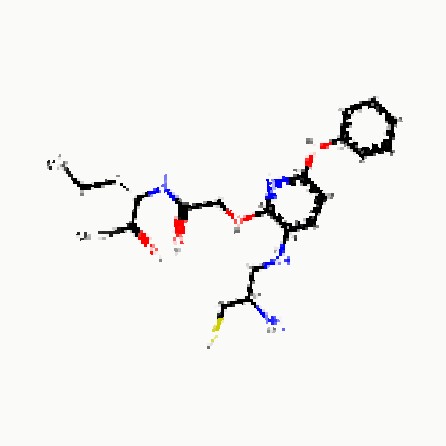 COC(=O)[C@H](CCSC)NC(=O)COc1nc(Oc2ccccc2)ccc1NCC(N)CS